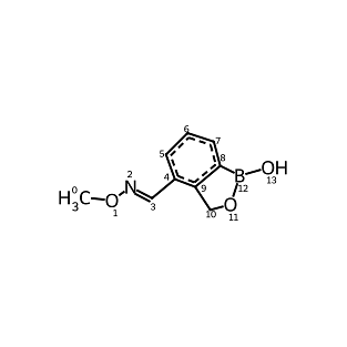 CON=Cc1cccc2c1COB2O